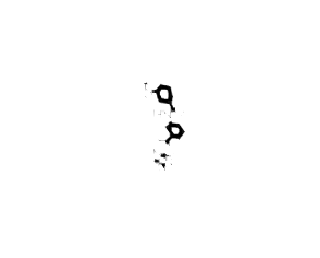 C[C@H](Sc1nncn1C)c1cccc(NC(=O)c2cccc(N(C)C)c2)c1